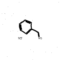 Cl.O=NCc1ccccc1